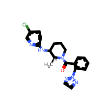 C[C@H]1C(Nc2ccc(Cl)cn2)CCCN1C(=O)c1ccccc1-n1nccn1